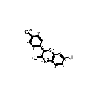 O=C1Nc2ccc(Cl)cc2SC1c1ccc(Cl)cc1